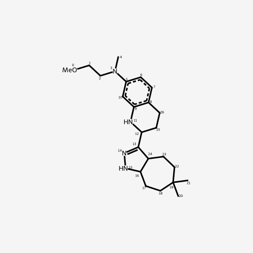 COCCN(C)c1ccc2c(c1)NC(C1=NNC3CCC(C)(C)CCC13)CC2